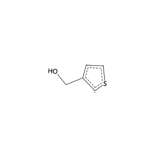 OCc1[c]scc1